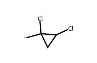 [CH2]C1(Cl)CC1Cl